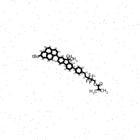 C=C(C)C(=O)OCC(F)(F)C(F)(F)CCc1ccc(-c2ccc3c(c2)C(C)(C)c2cc(-c4ccc5ccc6cc(C(C)(C)C)cc7ccc4c5c67)ccc2-3)cc1